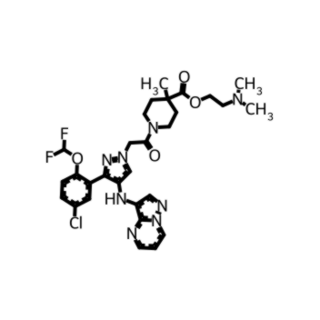 CN(C)CCOC(=O)C1(C)CCN(C(=O)Cn2cc(Nc3cnn4cccnc34)c(-c3cc(Cl)ccc3OC(F)F)n2)CC1